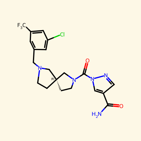 NC(=O)c1cnn(C(=O)N2CC[C@@]3(CCN(Cc4cc(Cl)cc(C(F)(F)F)c4)C3)C2)c1